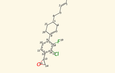 C/C=C/CCC1CC=C(c2ccc(C3CO3)c(Cl)c2F)CC1